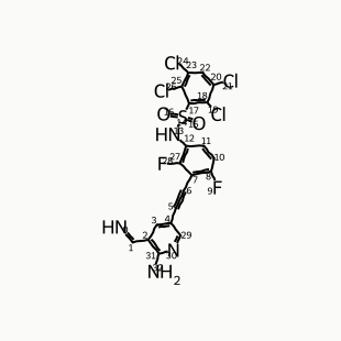 N=Cc1cc(C#Cc2c(F)ccc(NS(=O)(=O)c3c(Cl)c(Cl)cc(Cl)c3Cl)c2F)cnc1N